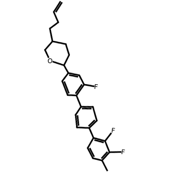 C=CCCC1CCC(c2ccc(-c3ccc(-c4ccc(C)c(F)c4F)cc3)c(F)c2)OC1